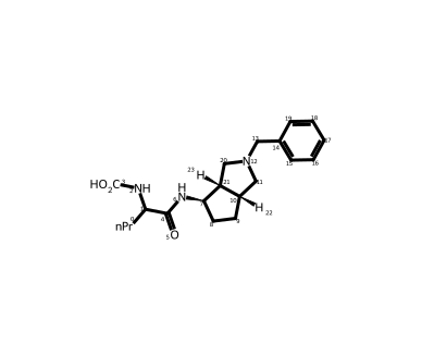 CCCC(NC(=O)O)C(=O)N[C@@H]1CC[C@H]2CN(Cc3ccccc3)C[C@H]21